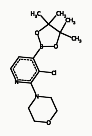 CC1(C)OB(c2ccnc(N3CCOCC3)c2Cl)OC1(C)C